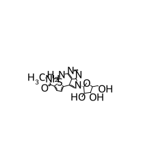 CNC(=O)c1ccc(-c2cn([C@@H]3OC(CO)C(O)[C@H]3O)c3ncnc(N)c23)s1